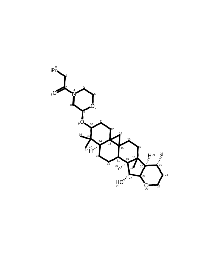 CC(C)CC(=O)N1CCO[C@@H](OC2CCC34CC35CCC3(C)[C@@H]6C(OCC[C@H]6C)[C@H](O)[C@@]3(C)C5CC[C@H]4C2(C)C)C1